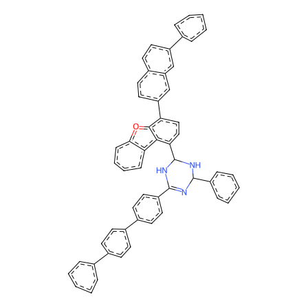 c1ccc(-c2ccc(-c3ccc(C4=NC(c5ccccc5)NC(c5ccc(-c6ccc7ccc(-c8ccccc8)cc7c6)c6oc7ccccc7c56)N4)cc3)cc2)cc1